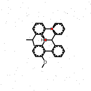 COc1cccc(OC)c1-c1ccccc1C(Nc1c(C(C)C)cccc1C(C)C)c1ccccn1